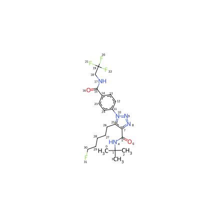 CC(C)(C)NC(=O)c1nnn(-c2ccc(C(=O)NCC(F)(F)F)cc2)c1CCCCCF